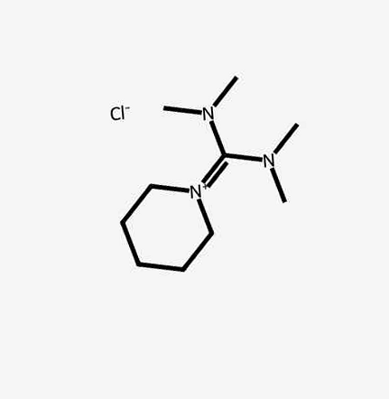 CN(C)C(N(C)C)=[N+]1CCCCC1.[Cl-]